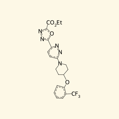 CCOC(=O)c1nnc(-c2ccc(N3CCC(Oc4ccccc4C(F)(F)F)CC3)nn2)o1